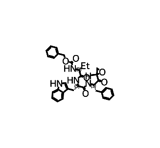 CC[C@@H](NC(=O)OCc1ccccc1)C(=O)N[C@@H](Cc1c[nH]c2ccccc12)C(=O)N[C@@H](Cc1ccccc1)C(=O)C1(C)CO1